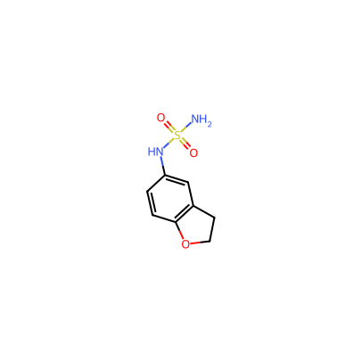 NS(=O)(=O)Nc1ccc2c(c1)CCO2